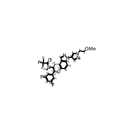 COCCn1cc(-n2ncc3cc(O[C@H](c4cc(F)cc(F)c4)[C@H](C)N(C)C(=O)C(C)(C)F)ccc32)cn1